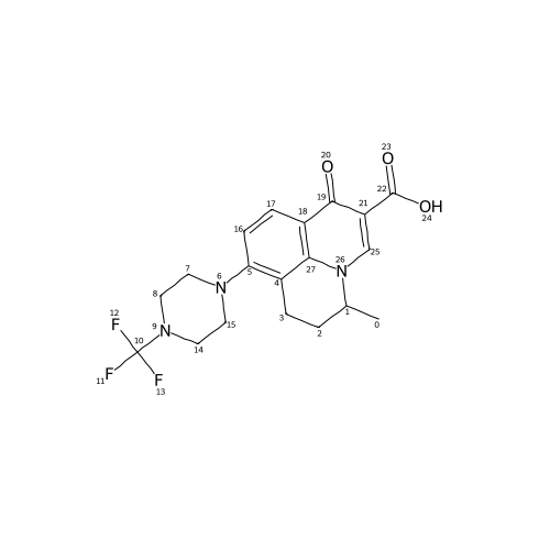 CC1CCc2c(N3CCN(C(F)(F)F)CC3)ccc3c(=O)c(C(=O)O)cn1c23